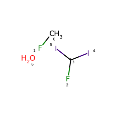 CF.F[C](I)I.O